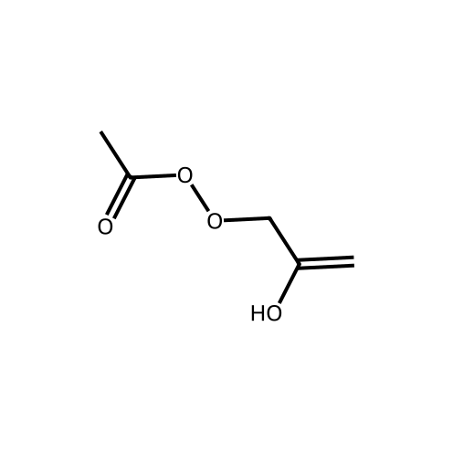 C=C(O)COOC(C)=O